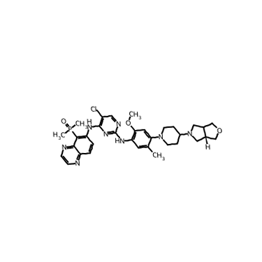 COc1cc(N2CCC(N3CC4COC[C@@H]4C3)CC2)c(C)cc1Nc1ncc(Cl)c(Nc2ccc3nccnc3c2P(C)(C)=O)n1